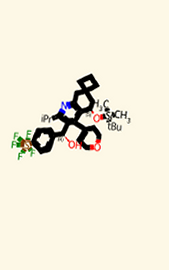 CC(C)c1nc2c(c(C3=CCOCC3)c1[C@H](O)c1ccc(S(F)(F)(F)(F)F)cc1)[C@@H](O[Si](C)(C)C(C)(C)C)CC1(CCC1)C2